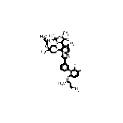 C=CCOC1(C)CCN(c2c(C(OC(C)(C)C)C(=O)OC)c(C)cc3nc(-c4cccc(-c5c(O[C@@H](C)CC=C)ccc(F)c5F)c4)cn23)CC1